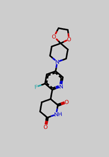 O=C1CCC(c2ncc(N3CCC4(CC3)OCCO4)cc2F)C(=O)N1